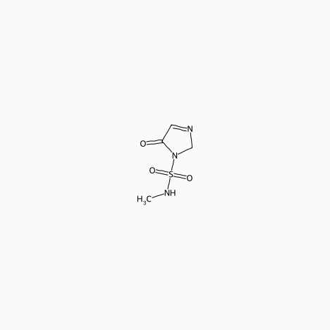 CNS(=O)(=O)N1CN=CC1=O